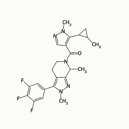 CC1CC1c1c(C(=O)N2CCc3c(nn(C)c3-c3cc(F)c(F)c(F)c3)C2C)cnn1C